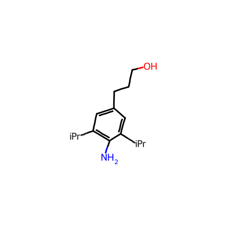 CC(C)c1cc(CCCO)cc(C(C)C)c1N